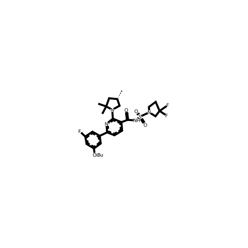 CC(C)COc1cc(F)cc(-c2ccc(C(=O)NS(=O)(=O)N3CCC(F)(F)C3)c(N3C[C@@H](C)CC3(C)C)n2)c1